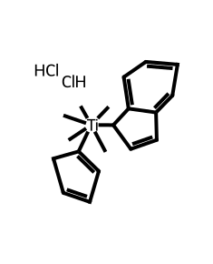 Cl.Cl.[CH3][Ti]([CH3])([CH3])([CH3])([CH3])([C]1=CC=CC1)[CH]1C=Cc2ccccc21